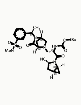 CNS(=O)(=O)c1cccc([C@@H](C)N2C(=O)[C@@H]3C[C@H]2CN3C[C@H](NC(=O)OC(C)(C)C)C(=O)N2[C@H](C#N)C[C@@H]3C[C@@H]32)c1